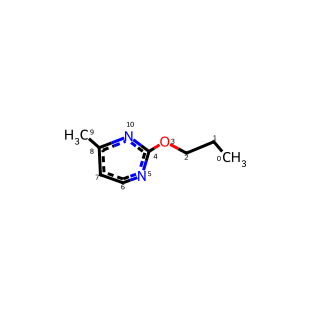 CCCOc1nccc(C)n1